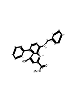 COC(=O)c1cc(O)c2c(-c3ccccc3)ccc(OCc3ccccc3)c2n1